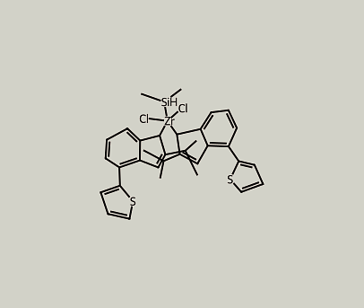 CC(C)C1=Cc2c(-c3cccs3)cccc2[CH]1[Zr]([Cl])([Cl])([CH]1C(C(C)C)=Cc2c(-c3cccs3)cccc21)[SiH](C)C